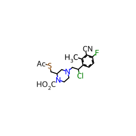 CC(=O)SCC1CN(CC(Cl)c2ccc(F)c(C#N)c2C)CCN1C(=O)O